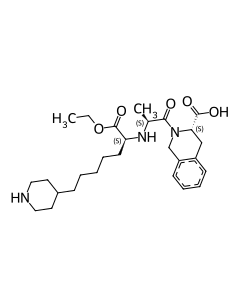 CCOC(=O)[C@H](CCCCCC1CCNCC1)N[C@@H](C)C(=O)N1Cc2ccccc2C[C@H]1C(=O)O